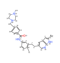 CC(=O)c1cc2cc(CCc3cc(NC(=O)c4ccc(CN5CCN(C)CC5)cc4)ccc3C)cnc2[nH]1